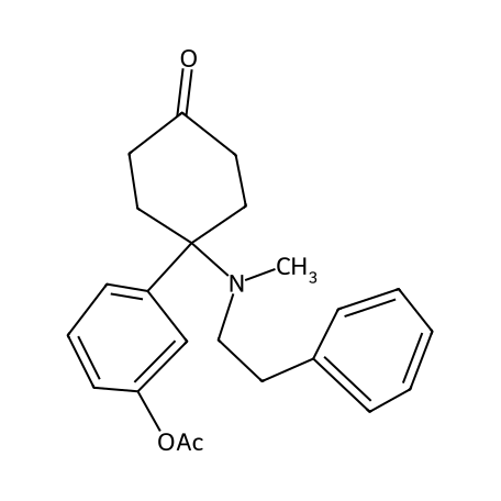 CC(=O)Oc1cccc(C2(N(C)CCc3ccccc3)CCC(=O)CC2)c1